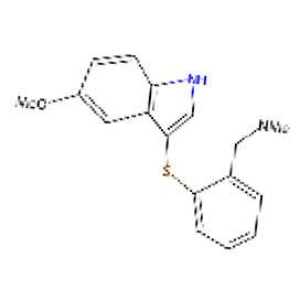 CNCc1ccccc1Sc1c[nH]c2ccc(OC)cc12